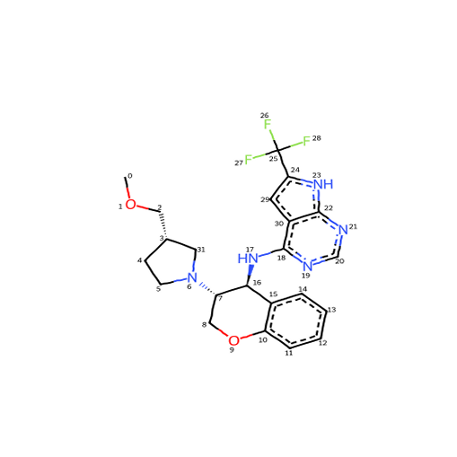 COC[C@H]1CCN([C@H]2COc3ccccc3[C@@H]2Nc2ncnc3[nH]c(C(F)(F)F)cc23)C1